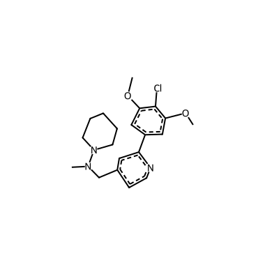 COc1cc(-c2cc(CN(C)N3CCCCC3)ccn2)cc(OC)c1Cl